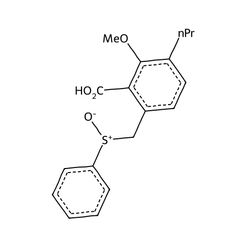 CCCc1ccc(C[S+]([O-])c2ccccc2)c(C(=O)O)c1OC